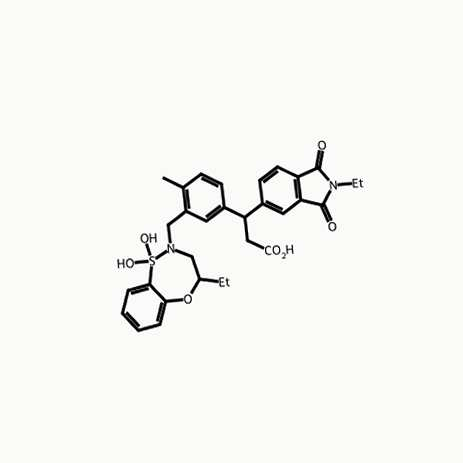 CCC1CN(Cc2cc(C(CC(=O)O)c3ccc4c(c3)C(=O)N(CC)C4=O)ccc2C)S(O)(O)c2ccccc2O1